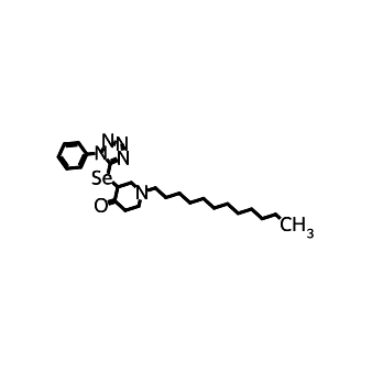 CCCCCCCCCCCCN1CCC(=O)C([Se]c2nnnn2-c2ccccc2)C1